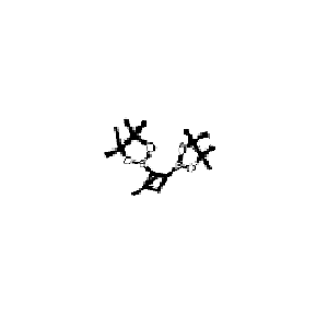 CC12CC(B3OC(C)(C)C(C)(C)O3)(C1)C2B1OC(C)(C)C(C)(C)O1